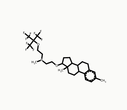 Cc1ccc2c(c1)CCC1C2CCC2(C)C(OCCN(C)CCOC(C(F)(F)F)(C(F)(F)F)C(F)(F)F)CCC12